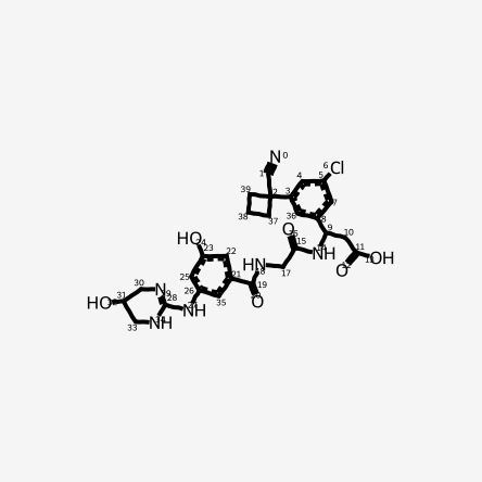 N#CC1(c2cc(Cl)cc(C(CC(=O)O)NC(=O)CNC(=O)c3cc(O)cc(NC4=NCC(O)CN4)c3)c2)CCC1